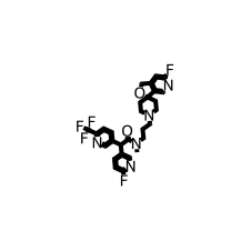 CN(CCCN1CCC2(CC1)OCc1cc(F)ncc12)C(=O)C(c1ccc(F)nc1)c1ccc(C(F)(F)F)nc1